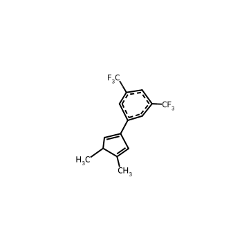 CC1=CC(c2cc(C(F)(F)F)cc(C(F)(F)F)c2)=CC1C